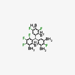 Bc1cc(C(c2cc(F)c(B)c(F)c2B)c2c(B)c(B)c(F)c(F)c2F)cc(B)c1F